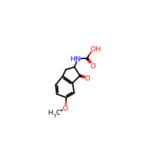 COc1ccc2c(c1)C(=O)C(NC(=O)O)C2